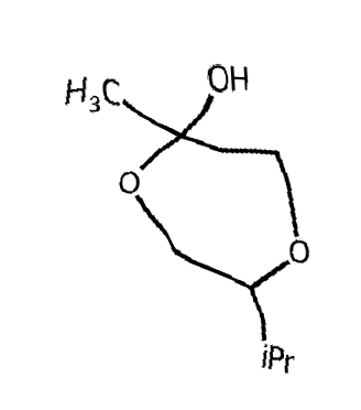 CC(C)C1COC(C)(O)CO1